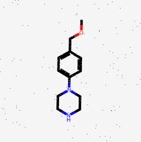 COCc1ccc(N2CCNCC2)cc1